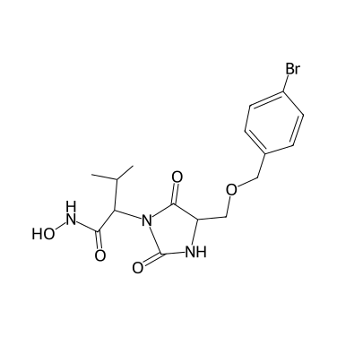 CC(C)C(C(=O)NO)N1C(=O)NC(COCc2ccc(Br)cc2)C1=O